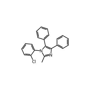 Cc1nc(-c2ccccc2)c(-c2ccccc2)n1-c1ccccc1Cl